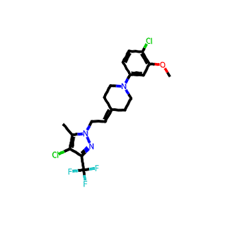 COc1cc(N2CCC(=CCn3nc(C(F)(F)F)c(Cl)c3C)CC2)ccc1Cl